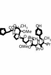 CC[C@H](C)[C@@H]([C@@H](CC(=O)N1CCC[C@H]1[C@H](OC)[C@@H](C)C(=O)N[C@@H](Cc1ccccc1)C(=O)O)OC)N(C)C(=O)[C@@H](NC(=O)[C@H](C(C)C)N(C)Cc1ccc(O)cc1)C(C)C